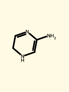 NC1=[C]NCC=N1